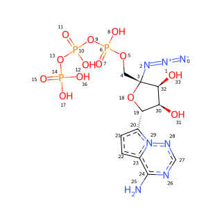 [N-]=[N+]=N[C@@]1(COP(=O)(O)OP(=O)(O)OP(=O)(O)O)O[C@@H](c2ccc3c(N)ncnn23)[C@H](O)[C@@H]1O